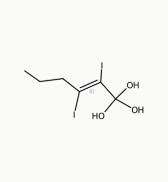 CCC/C(I)=C(\I)C(O)(O)O